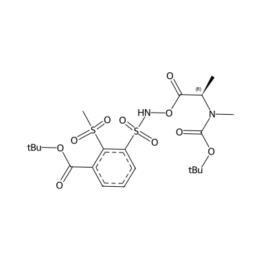 C[C@H](C(=O)ONS(=O)(=O)c1cccc(C(=O)OC(C)(C)C)c1S(C)(=O)=O)N(C)C(=O)OC(C)(C)C